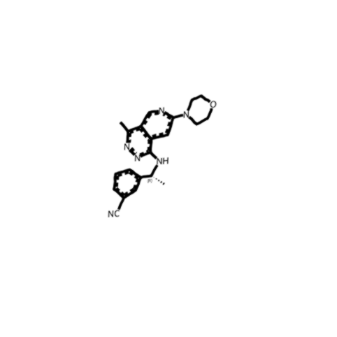 Cc1nnc(N[C@H](C)c2cccc(C#N)c2)c2cc(N3CCOCC3)ncc12